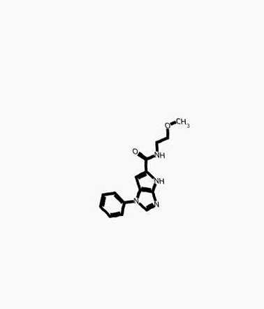 COCCNC(=O)c1cc2c(ncn2-c2ccccc2)[nH]1